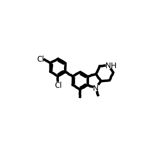 Cc1cc(-c2ccc(Cl)cc2Cl)cc2c1N(C)C1CCNCC21